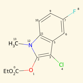 CCOC(=O)Oc1c(Cl)c2cc(F)ccc2n1C